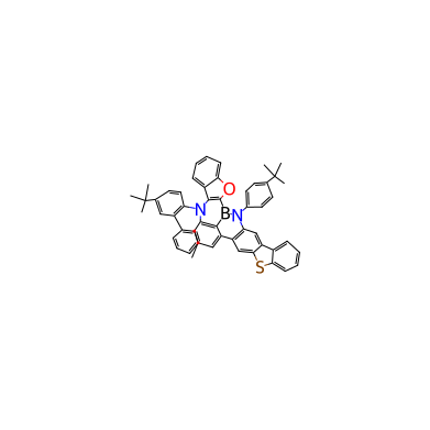 Cc1cc2c3c(c1)N(c1ccc(C(C)(C)C)cc1-c1ccccc1)c1c(oc4ccccc14)B3N(c1ccc(C(C)(C)C)cc1)c1cc3c(cc1-2)sc1ccccc13